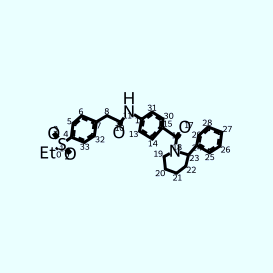 CCS(=O)(=O)c1ccc(CC(=O)Nc2ccc(C(=O)N3CCCCC3c3ccccc3)cc2)cc1